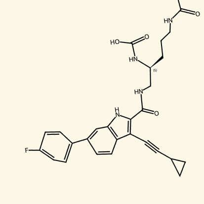 O=C(O)NCCC[C@@H](CNC(=O)c1[nH]c2cc(-c3ccc(F)cc3)ccc2c1C#CC1CC1)NC(=O)O